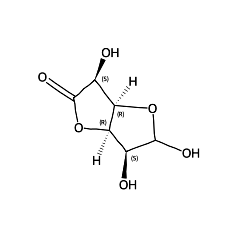 O=C1O[C@H]2[C@H](OC(O)[C@H]2O)[C@@H]1O